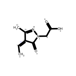 C/C=C1\C(=O)N(CC(=O)O)N=C1C